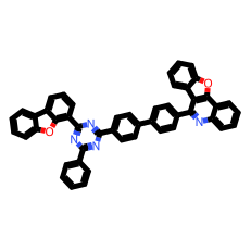 c1ccc(-c2nc(-c3ccc(-c4ccc(-c5nc6ccccc6c6oc7ccccc7c56)cc4)cc3)nc(-c3cccc4c3oc3ccccc34)n2)cc1